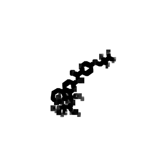 CC1(C)C(N)=N[C@](C)(c2nc(NC(=O)c3ccc(OCC(F)(F)C(F)F)cn3)ccc2F)[C@H]2CCCCN=[S@@]21=O